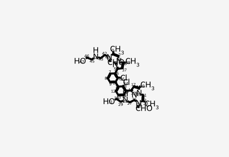 C/C(=C/n1nc(-c2cccc(-c3cccc(-c4cc(C)n(/C=C(/C)N(C=O)CCNCCO)n4)c3Cl)c2Cl)cc1C)N(C=O)CCNCCO